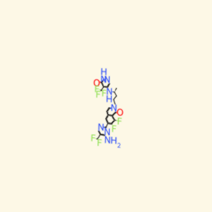 C[C@@H](CCCn1ccc2cc(-c3ncc(C(F)F)c(N)n3)c(F)c(F)c2c1=O)Nc1cn[nH]c(=O)c1C(F)(F)F